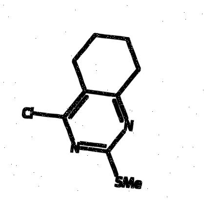 CSc1nc(Cl)c2c(n1)CCCC2